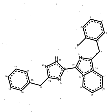 Fc1ccccc1Cc1nc(-c2nc(Cc3ccccc3)n[nH]2)n2ccccc12